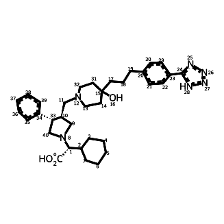 O=C(O)[C@@H](C1CCCCC1)N1C[C@H](CN2CCC(O)(CCCc3ccc(-c4nnn[nH]4)cc3)CC2)[C@@H](c2ccccc2)C1